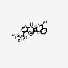 CC[C@@H](Nc1c(Nc2ncnc(C(=O)N(C)C)c2O)c(=O)c1=O)c1ccccc1